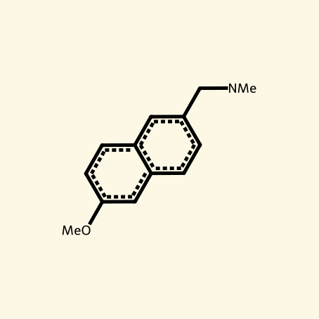 CNCc1ccc2cc(OC)ccc2c1